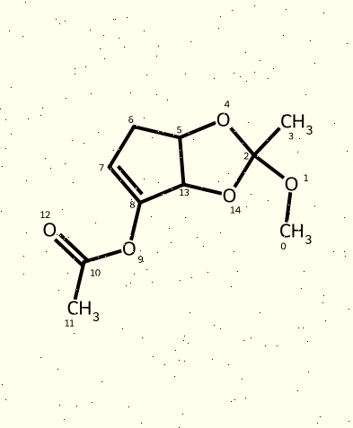 COC1(C)OC2CC=C(OC(C)=O)C2O1